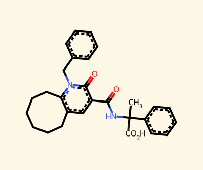 CC(NC(=O)c1cc2c(n(Cc3ccccc3)c1=O)CCCCCC2)(C(=O)O)c1ccccc1